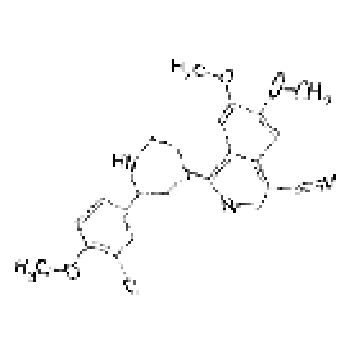 COc1ccc(C2CN(c3ncc(C#N)c4cc(OC)c(OC)cc34)CCN2)cc1Cl